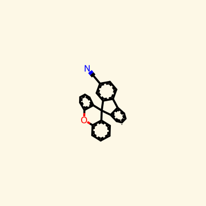 N#Cc1ccc2c(c1)C1(c3ccccc3Oc3ccccc31)c1c[c]ccc1-2